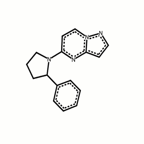 c1ccc(C2CCCN2c2ccn3nccc3n2)cc1